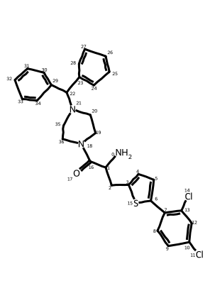 NC(Cc1ccc(-c2ccc(Cl)cc2Cl)s1)C(=O)N1CCN(C(c2ccccc2)c2ccccc2)CC1